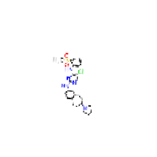 CS(=O)(=O)c1ccccc1Nc1nc(Nc2ccc3c(c2)CC[C@@H](N2CCCC2)CC3)ncc1Cl